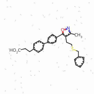 Cc1noc(-c2ccc(-c3ccc(CCC(=O)O)cc3)cc2)c1CCSCc1ccccc1